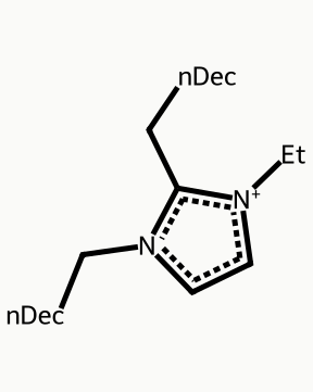 CCCCCCCCCCCc1n(CCCCCCCCCCC)cc[n+]1CC